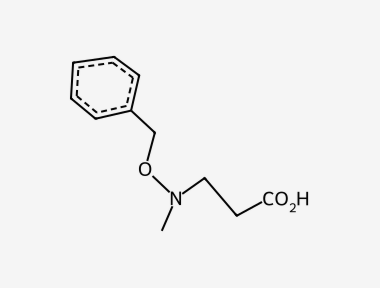 CN(CCC(=O)O)OCc1ccccc1